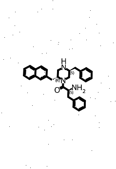 N[C@@H](Cc1ccccc1)C(=O)N1C[C@H](Cc2ccccc2)NC[C@H]1Cc1ccc2ccccc2c1